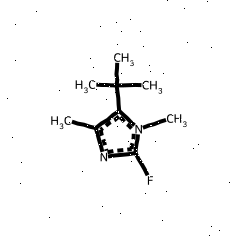 Cc1nc(F)n(C)c1C(C)(C)C